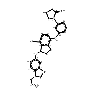 O=C(O)C[C@@H]1COc2cc(O[C@@H]3CCc4c(Oc5cccc(N6CCCC6=O)c5)ccc(F)c43)ccc21